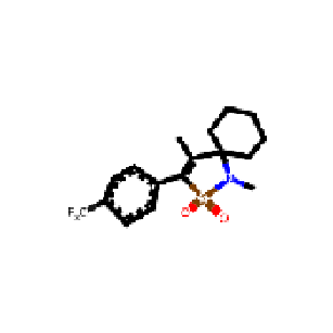 CC1=C(c2ccc(C(F)(F)F)cc2)S(=O)(=O)N(C)C12CCCCC2